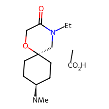 CC(=O)O.CCN1C[C@]2(CC[C@H](NC)CC2)OCC1=O